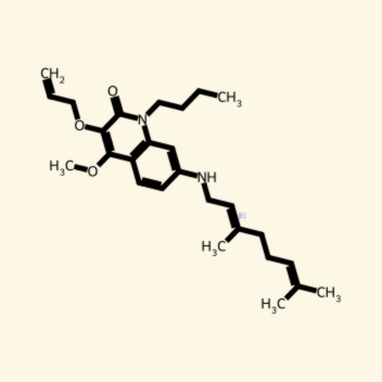 C=CCOc1c(OC)c2ccc(NC/C=C(\C)CCC=C(C)C)cc2n(CCCC)c1=O